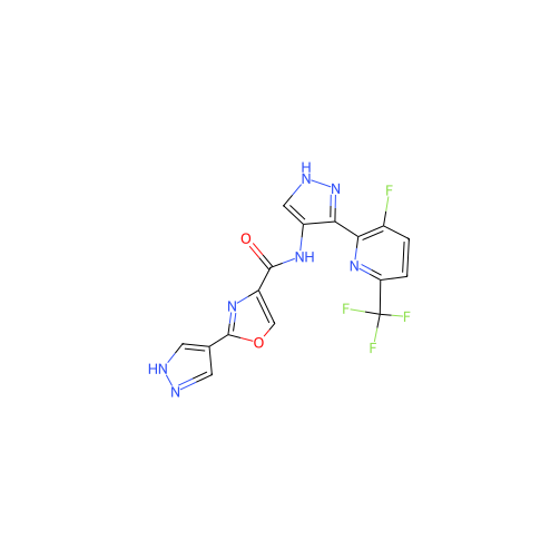 O=C(Nc1c[nH]nc1-c1nc(C(F)(F)F)ccc1F)c1coc(-c2cn[nH]c2)n1